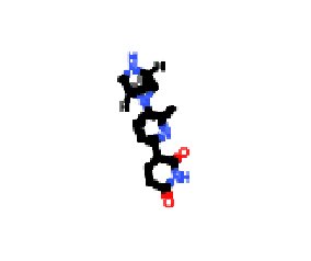 Cc1nc(C2CCC(=O)NC2=O)ccc1N1C[C@@H]2C[C@H]1CN2